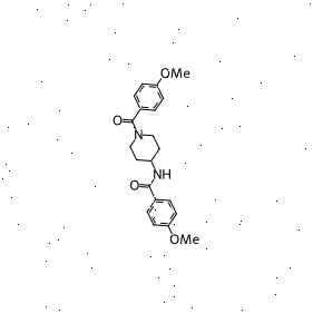 COc1ccc(C(=O)NC2CCN(C(=O)c3ccc(OC)cc3)CC2)cc1